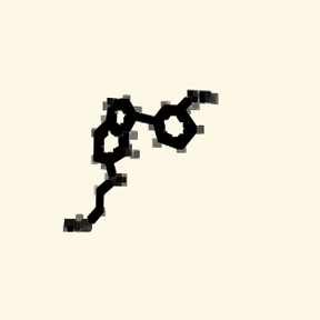 COCCNc1ccc2ncc(-c3cccc(NC(C)=O)c3)n2n1